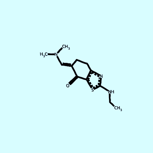 CCNc1nc2c(s1)C(=O)/C(=C/N(C)C)CC2